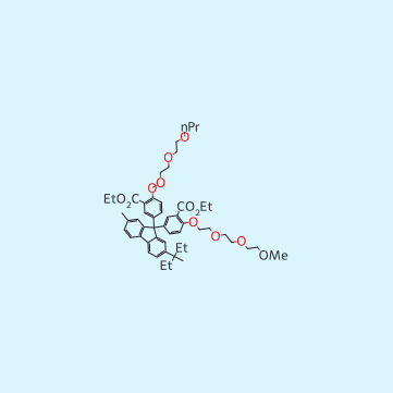 CCCOCCOCCOOc1ccc(C2(c3ccc(OCCOCCOCCOC)c(C(=O)OCC)c3)c3cc(C)ccc3-c3ccc(C(C)(CC)CC)cc32)cc1C(=O)OCC